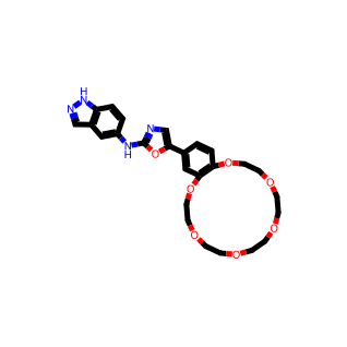 c1cc2[nH]ncc2cc1Nc1ncc(-c2ccc3c(c2)OCCOCCOCCOCCOCCO3)o1